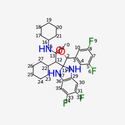 COC(c1cc(F)cc(F)c1)C1(C(C(=O)NC2CCCCC2)C2CCCCC2)Nc2cc(F)c(F)cc2N1